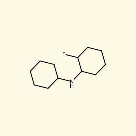 FC1CCCCC1NC1CCCCC1